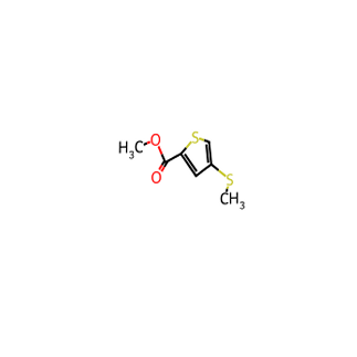 COC(=O)c1cc(SC)cs1